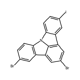 Brc1ccc2c(c1)c1cc(Br)cc3c4cc(I)ccc4n2c13